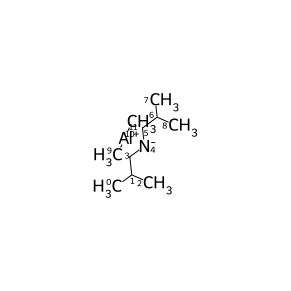 CC(C)C[N-]CC(C)C.[CH3][Al+][CH3]